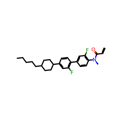 C=CC(=O)N(C)c1ccc(-c2ccc(C3CCC(CCCCC)CC3)cc2F)cc1F